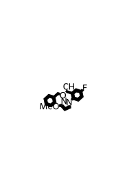 COc1ccn(-c2ccc(F)cc2[C@@H](C)OCc2ccccc2)n1